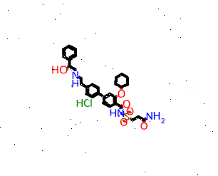 Cl.NC(=O)CCS(=O)(=O)NC(=O)c1ccc(-c2ccc(CCNC[C@H](O)c3ccccc3)cc2)cc1OC1CCCCC1